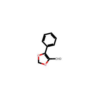 O=CC1=C(c2ccccc2)OCO1